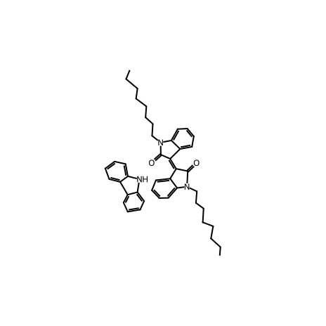 CCCCCCCCN1C(=O)/C(=C2/C(=O)N(CCCCCCCC)c3ccccc32)c2ccccc21.c1ccc2c(c1)[nH]c1ccccc12